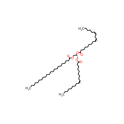 CCCCC/C=C\C/C=C\CCCCCCCC(=O)O[C@H](COC(=O)CCCCCCC/C=C\CCCCCCCC)COC(=O)CCCCCCCCCCCCCCCCCCCCC